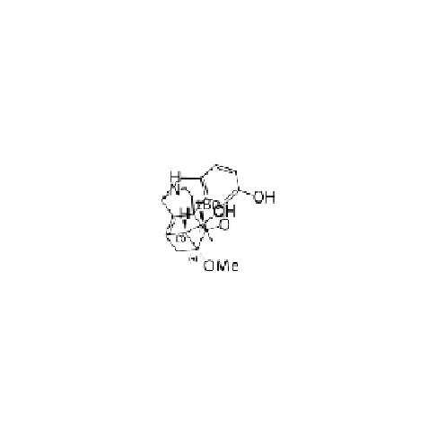 CO[C@@]12CC(=C3C4Cc5ccc(O)c6c5C3(CCN4)C1O6)[C@@H]2[C@@](C)(O)C(C)(C)C